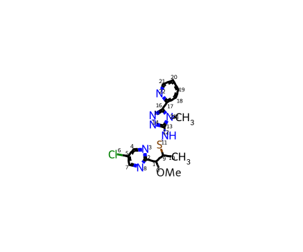 COC(c1ncc(Cl)cn1)C(C)SNc1nnc(-c2ccccn2)n1C